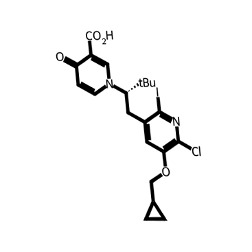 CC(C)(C)[C@H](Cc1cc(OCC2CC2)c(Cl)nc1I)n1ccc(=O)c(C(=O)O)c1